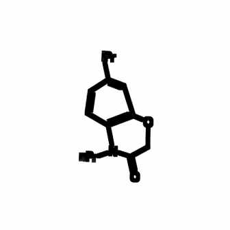 CCCN1C(=O)COc2cc(C(C)C)ccc21